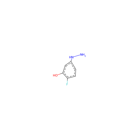 NNc1ccc(F)c(O)c1